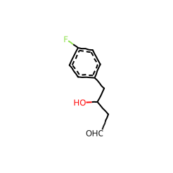 O=CCC(O)Cc1ccc(F)cc1